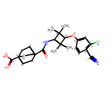 CC1(C)C(NC(=O)C23CCC(C(=O)O)(CC2)CC3)C(C)(C)C1Oc1ccc(C#N)c(Cl)c1